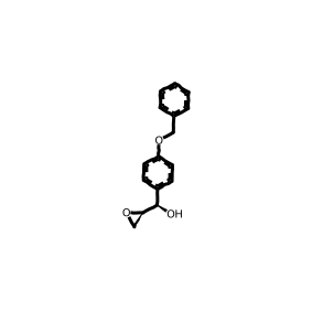 O[C@H](c1ccc(OCc2ccccc2)cc1)[C@H]1CO1